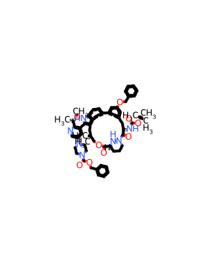 CO[C@@H](C)c1ncc(N2CCN(C(=O)OCc3ccccc3)CC2)cc1-c1[nH]c2ccc3cc2c1CC(C)(C)COC(=O)[C@@H]1CCCN(N1)C(=O)[C@@H](NC(=O)OC(C)(C)C)Cc1cc(OCc2ccccc2)cc-3c1